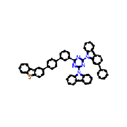 c1ccc(-c2ccc3c4ccccc4n(-c4nc(-c5cccc(-c6ccc(-c7ccc8sc9ccccc9c8c7)cc6)c5)nc(-n5c6ccccc6c6ccccc65)n4)c3c2)cc1